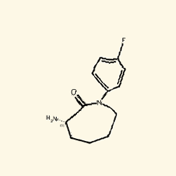 N[C@H]1CCCCN(c2ccc(F)cc2)C1=O